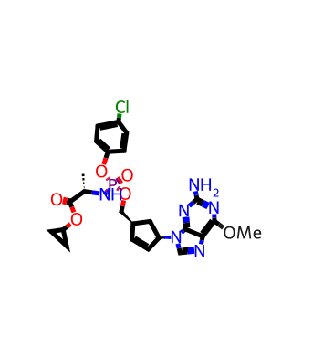 COc1nc(N)nc2c1ncn2[C@H]1C=C[C@@H](COP(=O)(N[C@@H](C)C(=O)OC2CC2)Oc2ccc(Cl)cc2)C1